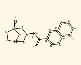 O=C(N[C@@H]1C[C@H]2CCN(C2)C1)c1ccc2ncccc2c1